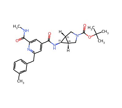 CNC(=O)c1cc(C(=O)N[C@H]2[C@@H]3CN(C(=O)OC(C)(C)C)C[C@@H]32)cc(Cc2cccc(C)c2)n1